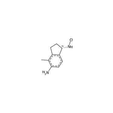 Cc1c(N)ccc2c1CC[C@@H]2NCl